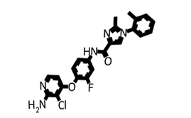 Cc1ccccc1-n1cc(C(=O)Nc2ccc(Oc3ccnc(N)c3Cl)c(F)c2)nc1C